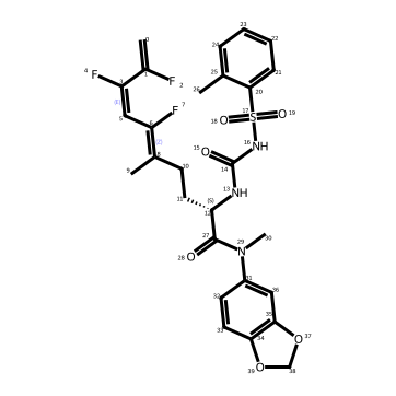 C=C(F)/C(F)=C\C(F)=C(/C)CC[C@H](NC(=O)NS(=O)(=O)c1ccccc1C)C(=O)N(C)c1ccc2c(c1)OCO2